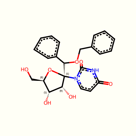 O=c1ccn([C@]2(C(OCc3ccccc3)c3ccccc3)O[C@H](CO)[C@@H](O)[C@H]2O)c(=O)[nH]1